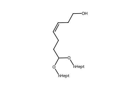 CCCCCCCOC(CC/C=C\CCO)OCCCCCCC